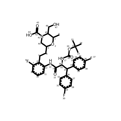 CC1OC(CCc2c(F)cccc2NC(=O)[C@@H](NC(=O)OC(C)(C)C)C(c2ccc(F)cc2)c2ccc(F)cc2)CN(C(=O)O)C1CO